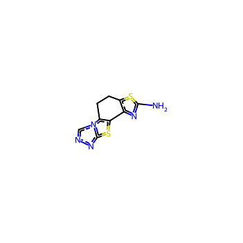 Nc1nc2c(s1)CCc1c-2sc2nncn12